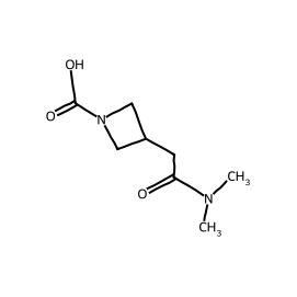 CN(C)C(=O)CC1CN(C(=O)O)C1